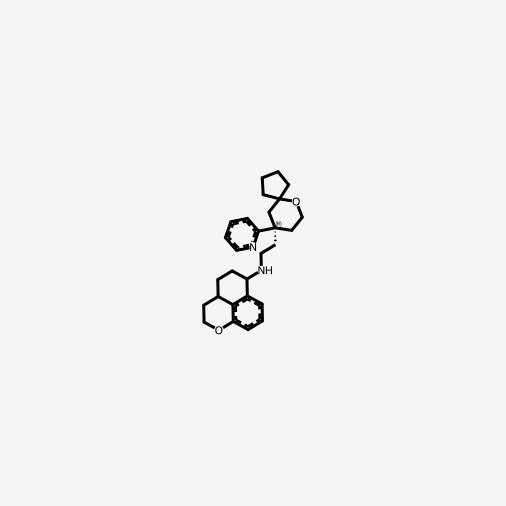 c1ccc([C@]2(CCNC3CCC4CCOc5cccc3c54)CCOC3(CCCC3)C2)nc1